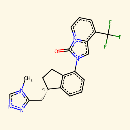 Cn1cnnc1C[C@@H]1CCc2c1cccc2-n1cc2c(C(F)(F)F)cccn2c1=O